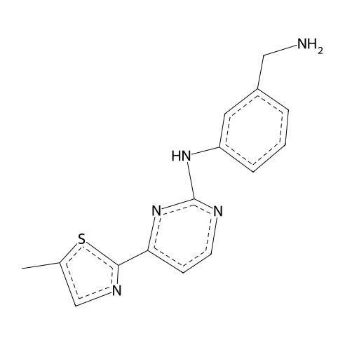 Cc1cnc(-c2ccnc(Nc3cccc(CN)c3)n2)s1